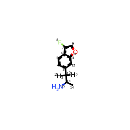 [2H]C([2H])(c1ccc2c(F)coc2c1)C(C)N